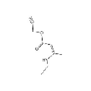 C#CCOC(=O)C=C(C)NCC